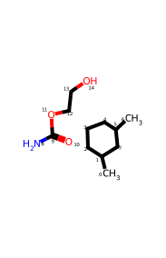 CC1CCCC(C)C1.NC(=O)OCCO